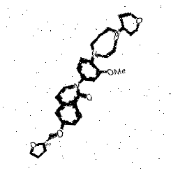 COc1cc(-n2ccc3cc(OC[C@H]4CCCO4)ccc3c2=O)ccc1N1CCCN(C2CCOCC2)CC1